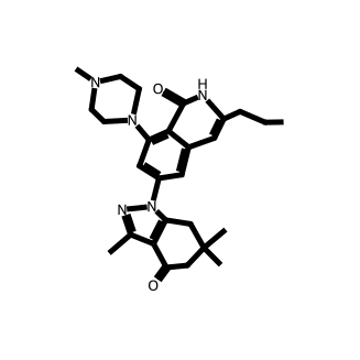 CCCc1cc2cc(-n3nc(C)c4c3CC(C)(C)CC4=O)cc(N3CCN(C)CC3)c2c(=O)[nH]1